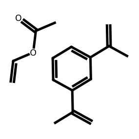 C=C(C)c1cccc(C(=C)C)c1.C=COC(C)=O